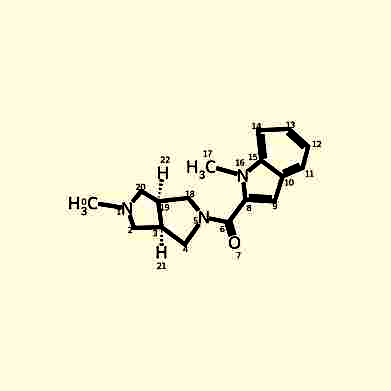 CN1C[C@@H]2CN(C(=O)c3cc4ccccc4n3C)C[C@@H]2C1